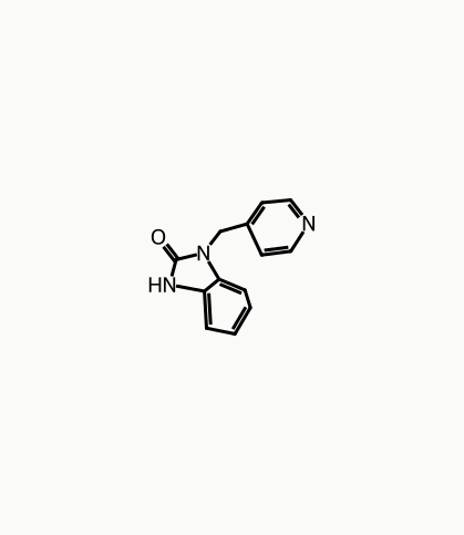 O=c1[nH]c2ccccc2n1Cc1ccncc1